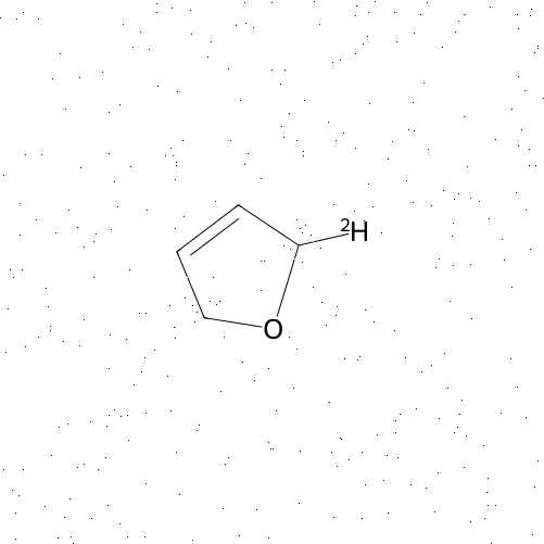 [2H]C1C=CCO1